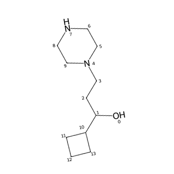 OC(CCN1CCNCC1)C1CCC1